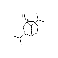 CC(C)N1C[C@H]2CCCC1CN2C(C)C